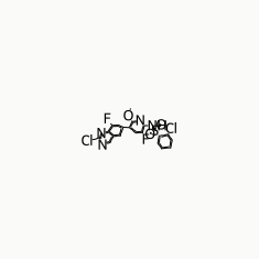 COc1nc(NS(=O)(=O)c2ccccc2Cl)c(F)cc1-c1cc(F)c2nc(Cl)ncc2c1